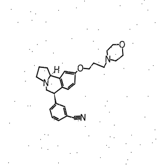 N#Cc1cccc([C@H]2CN3CCC[C@H]3c3cc(OCCCN4CCOCC4)ccc32)c1